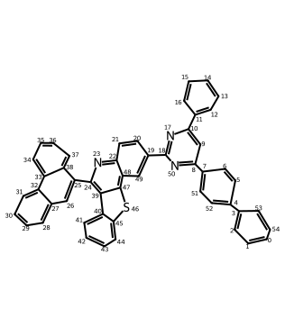 c1ccc(-c2ccc(-c3cc(-c4ccccc4)nc(-c4ccc5nc(-c6cc7ccccc7c7ccccc67)c6c7ccccc7sc6c5c4)n3)cc2)cc1